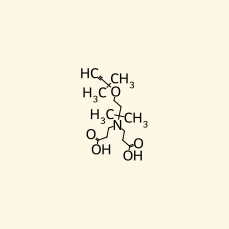 C#CC(C)(C)OCCC(C)(C)N(CCC(=O)O)CCC(=O)O